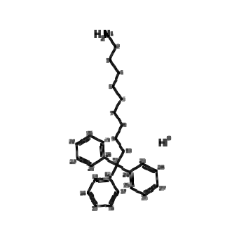 I.NCCCCCCCCCC(c1ccccc1)(c1ccccc1)c1ccccc1